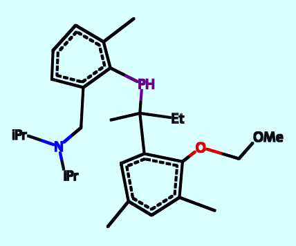 CCC(C)(Pc1c(C)cccc1CN(C(C)C)C(C)C)c1cc(C)cc(C)c1OCOC